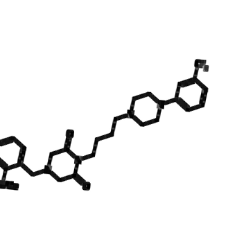 COc1ccccc1CN1CC(=O)N(CCCCN2CCN(c3cccc(C(F)(F)F)c3)CC2)C(=O)C1